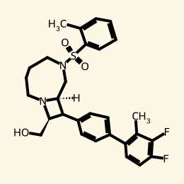 Cc1ccccc1S(=O)(=O)N1CCCCN2[C@H](CO)C(c3ccc(-c4ccc(F)c(F)c4C)cc3)[C@@H]2C1